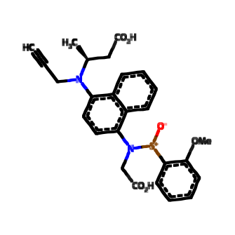 C#CCN(c1ccc(N(CC(=O)O)[S+]([O-])c2ccccc2OC)c2ccccc12)[C@@H](C)CC(=O)O